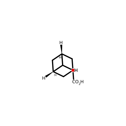 O=C(O)NC1[C@@H]2CNC[C@H]1C2